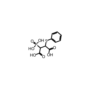 O=C(O)C(Sc1ccccc1)C(C(=O)O)P(=O)(O)O